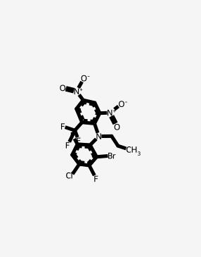 CCCN(c1c([N+](=O)[O-])cc([N+](=O)[O-])cc1C(F)(F)F)c1c(F)cc(Cl)c(F)c1Br